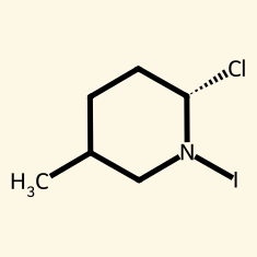 CC1CC[C@H](Cl)N(I)C1